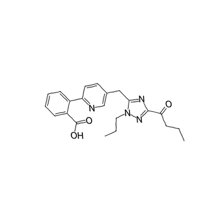 CCCC(=O)c1nc(Cc2ccc(-c3ccccc3C(=O)O)nc2)n(CCC)n1